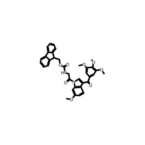 COc1ccc2c(C(=O)c3cc(OC)c(OC)c(OC)c3)cn(C(=O)CNC(=O)OCC3c4ccccc4-c4ccccc43)c2c1